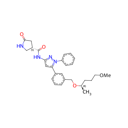 COCCC[C@@H](C)OCc1cccc(-c2cc(NC(=O)[C@@H]3CNC(=O)C3)nn2-c2ccccc2)c1